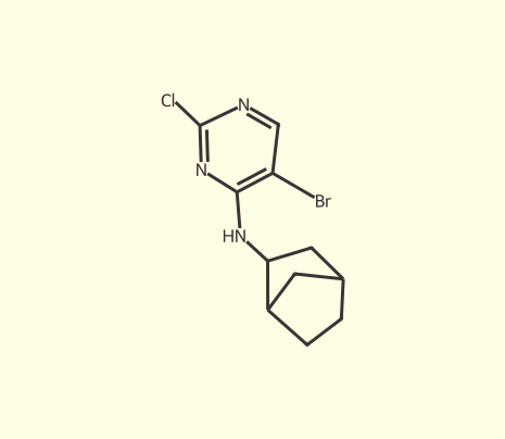 Clc1ncc(Br)c(NC2CC3CCC2C3)n1